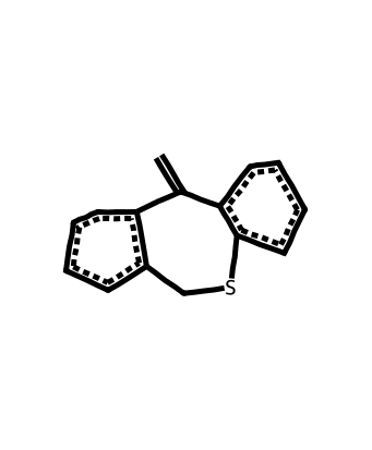 C=C1c2ccccc2CSc2ccccc21